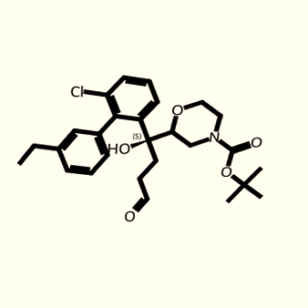 CCc1cccc(-c2c(Cl)cccc2[C@@](O)(CCC=O)C2CN(C(=O)OC(C)(C)C)CCO2)c1